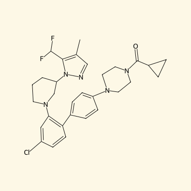 Cc1cnn(C2CCCN(c3cc(Cl)ccc3-c3ccc(N4CCN(C(=O)C5CC5)CC4)cc3)C2)c1C(F)F